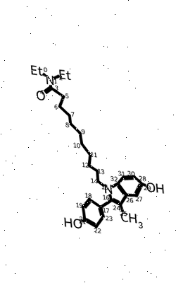 CCN(CC)C(=O)CCCCCCCCCCn1c(-c2ccc(O)cc2)c(C)c2cc(O)ccc21